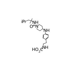 CC(C)CC(C)(C)NC(=O)N1CCC(Nc2ccc(CCNC(=O)O)cc2)CC1